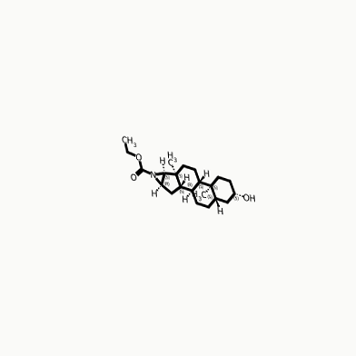 CCOC(=O)N1[C@@H]2C[C@H]3[C@@H]4CC[C@H]5C[C@@H](O)CC[C@]5(C)[C@H]4CC[C@]3(C)[C@@H]21